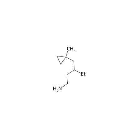 CCC(CCN)CC1(C)CC1